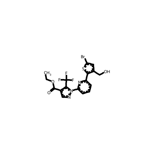 CCOC(=O)c1cnn(-c2cccc(-c3sc(Br)cc3CO)n2)c1C(F)(F)F